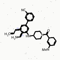 C=C/C=c1/cc(-c2cccc(C#N)c2)cc(NC2CCN(C(=O)C3C=C(NC)C=CC3)CC2)/c1=C/N